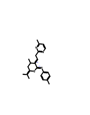 CC(C)=C1CC(C)C(=C\Cc2nccc(C)n2)/C(=N/c2ccc(C)cc2)S1